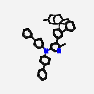 Cc1ncc(N(c2ccc(-c3ccccc3)cc2)c2ccc(-c3ccccc3)cc2)cc1-c1ccc2c(c1)-c1ccccc1C21C(C)CC2CC(C)CC1C2